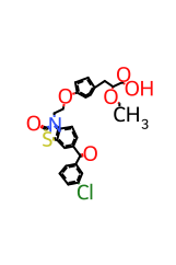 CCOC(Cc1ccc(OCCn2c(=O)sc3cc(C(=O)c4cccc(Cl)c4)ccc32)cc1)C(=O)O